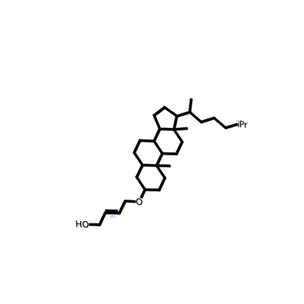 CC(C)CCCC(C)C1CCC2C3CCC4CC(OC/C=C/CO)CCC4(C)C3CCC12C